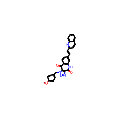 COc1ccc(Cn2nnc3c(=O)[nH]c4cc(/C=C/c5ccc6ccccc6n5)ccc4c(=O)c32)cc1